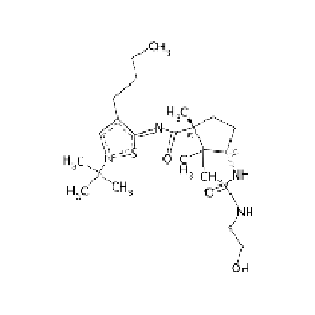 CCCCc1cn(C(C)(C)C)sc1=NC(=O)[C@]1(C)CC[C@H](NC(=O)NCCO)C1(C)C